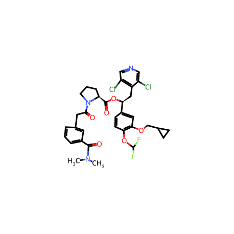 CN(C)C(=O)c1cccc(CC(=O)N2CCC[C@H]2C(=O)O[C@@H](Cc2c(Cl)cncc2Cl)c2ccc(OC(F)F)c(OCC3CC3)c2)c1